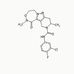 CC1Cc2nn3c(c2CN1C(=O)Nc1ccc(F)c(Cl)c1)C(=O)N(C)OCC3